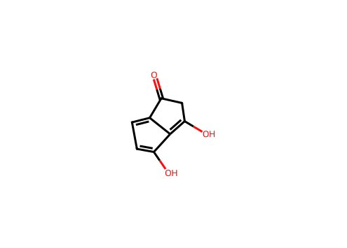 O=C1CC(O)=C2C(O)=CC=C12